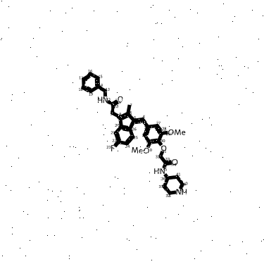 COc1cc(/C=C2/C(C)=C(CC(=O)NCc3ccccc3)c3cc(F)ccc32)cc(OC)c1OCC(=O)NC1CCNCC1